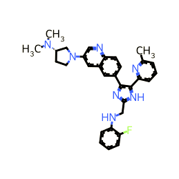 Cc1cccc(-c2[nH]c(CNc3ccccc3F)nc2-c2ccc3ncc(N4CC[C@H](N(C)C)C4)cc3c2)n1